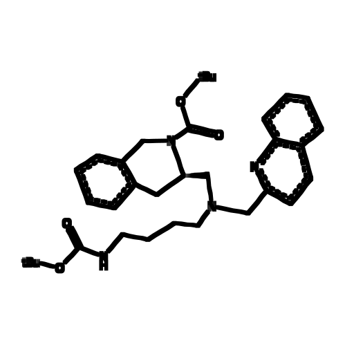 CC(C)(C)OC(=O)NCCCCN(Cc1ccc2ccccc2n1)C[C@H]1Cc2ccccc2CN1C(=O)OC(C)(C)C